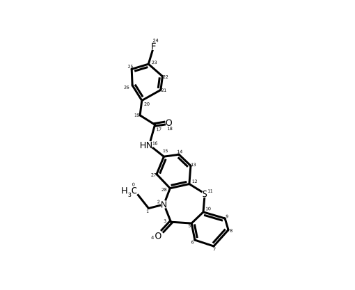 CCN1C(=O)c2ccccc2Sc2ccc(NC(=O)Cc3ccc(F)cc3)cc21